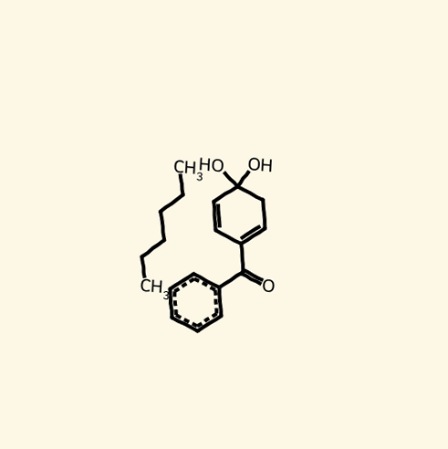 CCCCCC.O=C(C1=CCC(O)(O)C=C1)c1ccccc1